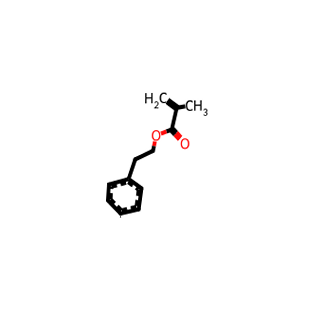 C=C(C)C(=O)OCCc1cc[c]cc1